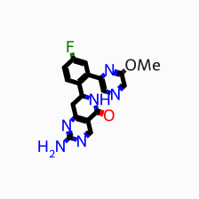 COc1cncc(-c2cc(F)ccc2C2Cc3nc(N)ncc3C(=O)N2)n1